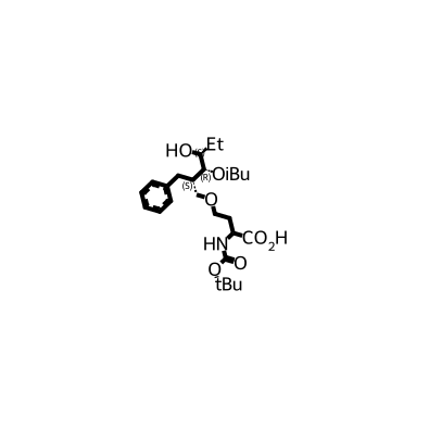 CC[C@H](O)[C@H](OCC(C)C)[C@H](COCCC(NC(=O)OC(C)(C)C)C(=O)O)Cc1ccccc1